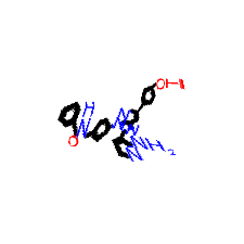 Nc1ncccc1-c1nc2cc(-c3ccc(CO)cc3)cnc2n1-c1ccc(CNC(=O)c2ccccc2)cc1